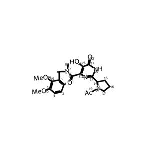 COc1cccc(CN(C)C(=O)c2nc(C3CCCN3C(C)=O)[nH]c(=O)c2O)c1OC